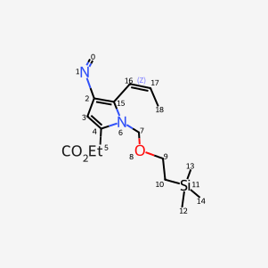 C=Nc1cc(C(=O)OCC)n(COCC[Si](C)(C)C)c1/C=C\C